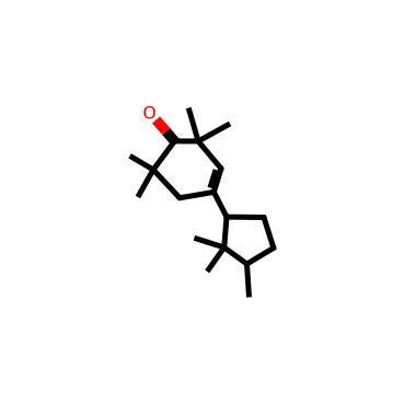 CC1CCC(C2=CC(C)(C)C(=O)C(C)(C)C2)C1(C)C